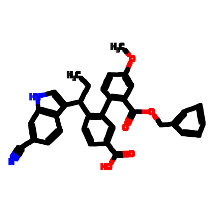 CCC(c1ccc(C(=O)O)cc1-c1ccc(OC)cc1C(=O)OCc1ccccc1)c1c[nH]c2cc(C#N)ccc12